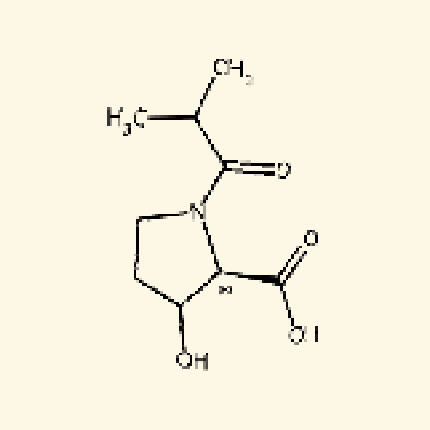 CC(C)C(=O)N1CCC(O)[C@@H]1C(=O)O